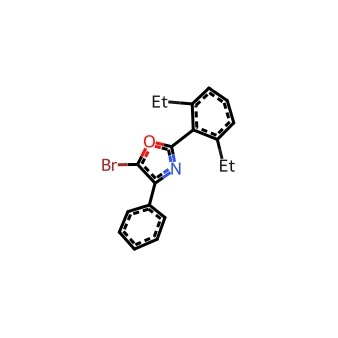 CCc1cccc(CC)c1-c1nc(-c2ccccc2)c(Br)o1